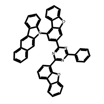 c1ccc(-c2nc(-c3cc(-n4c5ccccc5c5cc6ccccc6cc54)c4c(c3)oc3ccccc34)nc(-c3cccc4c3oc3ccccc34)n2)cc1